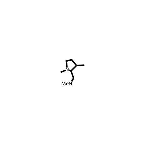 CNCC1C(C)CCN1C